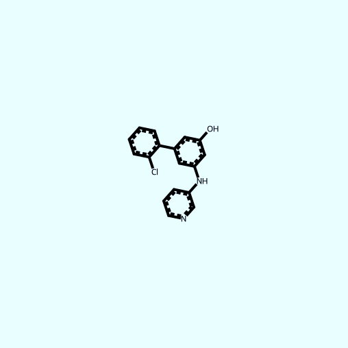 Oc1cc(Nc2cccnc2)cc(-c2ccccc2Cl)c1